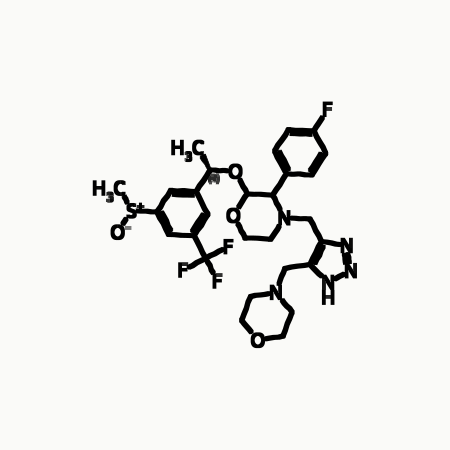 C[C@@H](OC1OCCN(Cc2nn[nH]c2CN2CCOCC2)C1c1ccc(F)cc1)c1cc([S+](C)[O-])cc(C(F)(F)F)c1